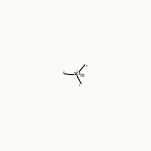 [CH3][303In]([CH3])[CH3]